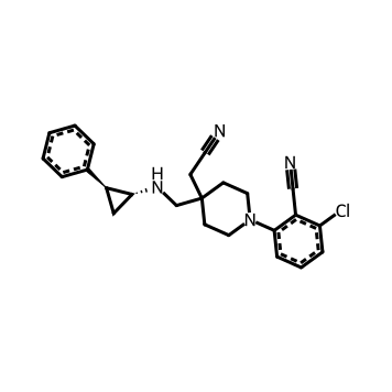 N#CCC1(CN[C@@H]2C[C@H]2c2ccccc2)CCN(c2cccc(Cl)c2C#N)CC1